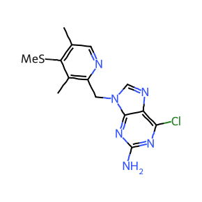 CSc1c(C)cnc(Cn2cnc3c(Cl)nc(N)nc32)c1C